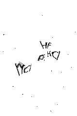 Cl.Cl.F.[P]